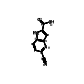 N#Cc1ccc2[nH]c(C(=O)O)cc2n1